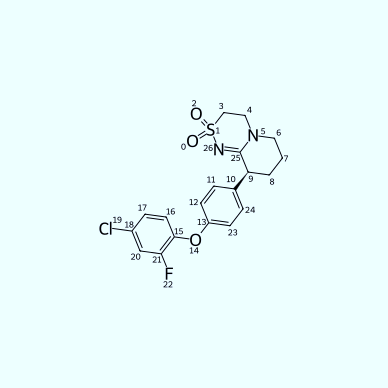 O=S1(=O)CCN2CCC[C@@H](c3ccc(Oc4ccc(Cl)cc4F)cc3)C2=N1